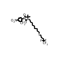 CC1(C)C(=O)N(c2ccc([N+](=O)[O-])cc2C(F)(F)F)C(=O)N1CCCCCCCCCSCCCC(F)(F)C(F)(F)F